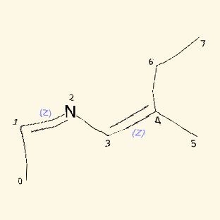 C/C=N\C=C(\C)CC